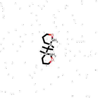 CC(C)([Si]1(C)CCCO[SiH2]1)[Si]1(C)CCCO[SiH2]1